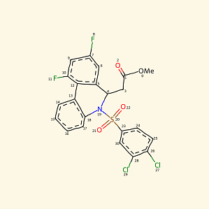 COC(=O)CC1c2cc(F)cc(F)c2-c2ccccc2N1S(=O)(=O)c1ccc(Cl)c(Cl)c1